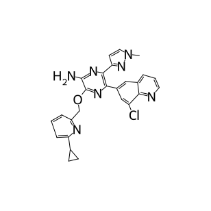 Cn1ccc(-c2nc(N)c(OCc3cccc(C4CC4)n3)nc2-c2cc(Cl)c3ncccc3c2)n1